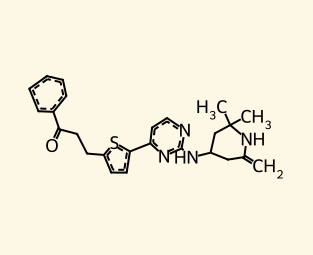 C=C1CC(Nc2nccc(-c3ccc(CCC(=O)c4ccccc4)s3)n2)CC(C)(C)N1